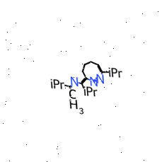 C\C(=N/C(=C1CCC\C=C(C(C)C)/N=N\1)C(C)C)C(C)C